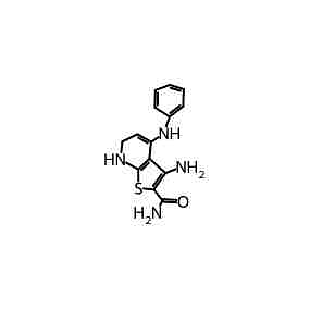 NC(=O)c1sc2c(c1N)C(Nc1ccccc1)=CCN2